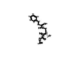 CC(C)[C@@H](CNC(=O)/C=C/c1ccccc1)NC(=O)OC(C)(C)C